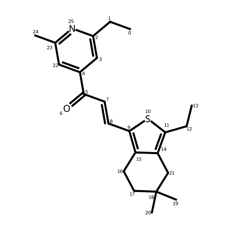 CCc1cc(C(=O)C=Cc2sc(CC)c3c2CCC(C)(C)C3)cc(C)n1